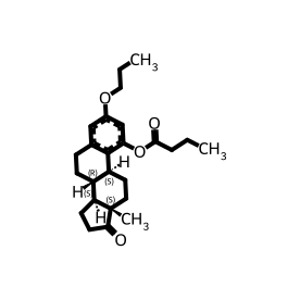 CCCOc1cc2c(c(OC(=O)CCC)c1)[C@H]1CC[C@]3(C)C(=O)CC[C@H]3[C@@H]1CC2